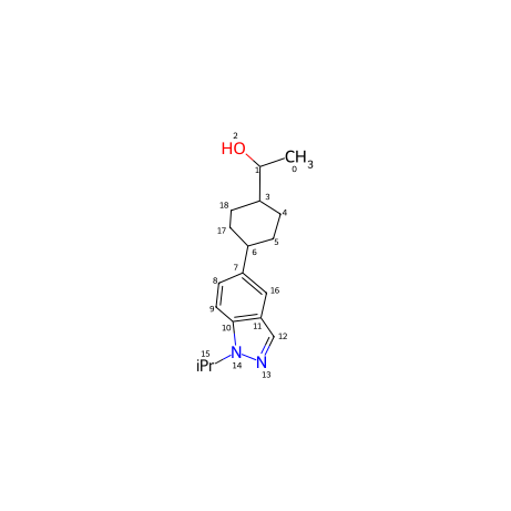 CC(O)C1CCC(c2ccc3c(cnn3C(C)C)c2)CC1